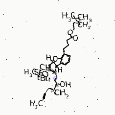 CC#CC[C@H](C)[C@H](O)/C=C/[C@@H]1[C@H]2c3cccc(CCCC(=O)OCC[Si](C)(C)C)c3O[C@H]2C[C@H]1O[Si](C)(C)C(C)(C)C